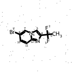 CC(F)(F)c1cn2cc(Br)ccc2n1